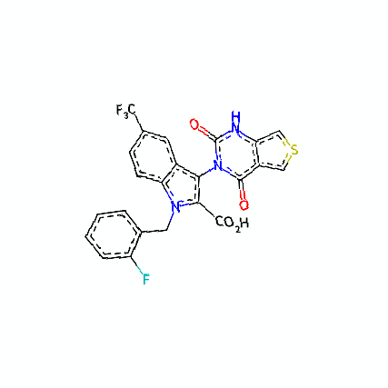 O=C(O)c1c(-n2c(=O)[nH]c3cscc3c2=O)c2cc(C(F)(F)F)ccc2n1Cc1ccccc1F